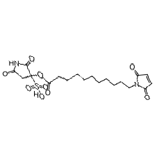 O=C1CC(OC(=O)CCCCCCCCCCN2C(=O)C=CC2=O)(S(=O)(=O)O)C(=O)N1